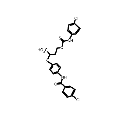 O=C(Nc1ccc(SC(CCOC(=S)Nc2ccc(Cl)cc2)C(=O)O)cc1)c1ccc(Cl)cc1